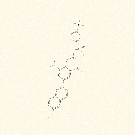 COc1ccc2cc(-c3cc(C(C)C)c(CC(=O)N=S(N)(=O)c4ncc(C(C)(C)O)s4)c(C(C)C)c3)ccc2c1